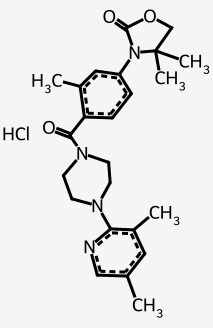 Cc1cnc(N2CCN(C(=O)c3ccc(N4C(=O)OCC4(C)C)cc3C)CC2)c(C)c1.Cl